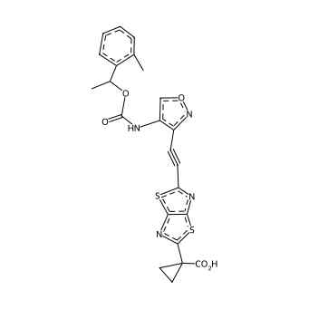 Cc1ccccc1C(C)OC(=O)Nc1conc1C#Cc1nc2sc(C3(C(=O)O)CC3)nc2s1